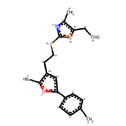 CCCCc1oc(-c2ccc(C)cc2)cc1CCSc1nc(C)c(CC=O)s1